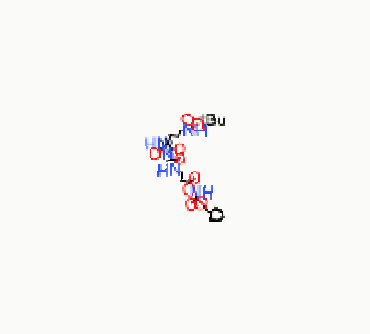 CC(C)(C)OC(=O)NCCC[C@@H]1NC(=O)N(CC(=O)NCCC(=O)ONC(=O)OCc2ccccc2)C1=O